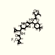 Cc1nonc1C(=O)N[C@H](c1cn2ncc([C@H](NC(=O)CC3(C(F)(F)F)CC3)C3CC3)cc2n1)C1CCC(F)(F)CC1